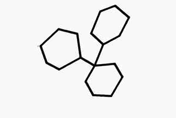 [CH]1CCC(C2(C3CCCCC3)CCCCC2)CC1